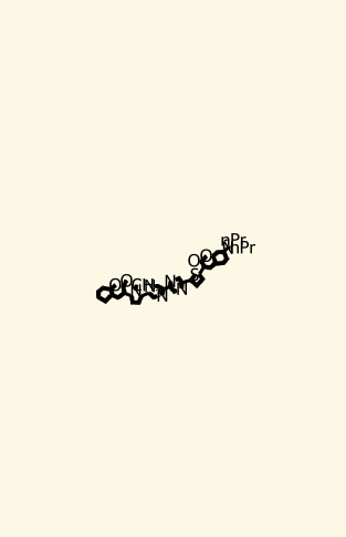 CCCN(CCC)c1ccc2cc(-c3ccc(-c4cnc(-c5cnc(-c6ccc(-c7cc8ccccc8oc7=O)n6C)cn5)cn4)s3)c(=O)oc2c1